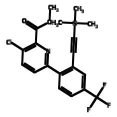 COC(=O)c1nc(-c2ccc(C(F)(F)F)cc2C#C[Si](C)(C)C)ccc1Cl